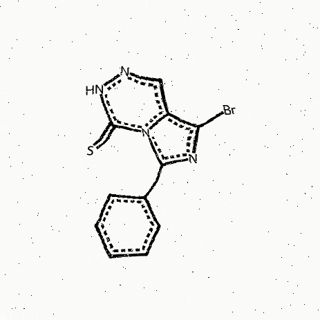 S=c1[nH]ncc2c(Br)nc(-c3ccccc3)n12